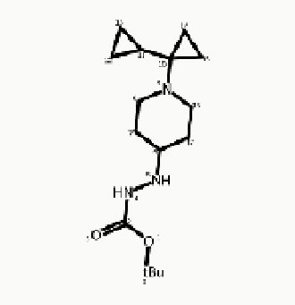 CC(C)(C)OC(=O)NNC1CCN(C2(C3CC3)CC2)CC1